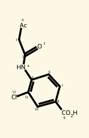 CC(=O)CC(=O)Nc1ccc(C(=O)O)cc1Cl